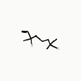 C=CC(C)(Cl)CCCC(C)(C)Cl